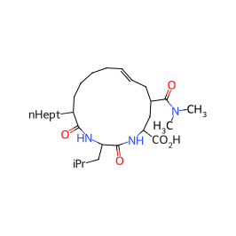 CCCCCCCC1CCCC/C=C/CC(C(=O)N(C)C)CC(C(=O)O)NC(=O)C(CC(C)C)NC1=O